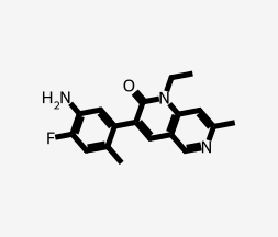 CCn1c(=O)c(-c2cc(N)c(F)cc2C)cc2cnc(C)cc21